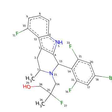 CC1Cc2c([nH]c3cccc(F)c23)C(c2c(F)cc(Br)cc2F)N1CC(C)(F)CO